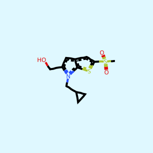 CS(=O)(=O)c1cc2cc(CO)n(CC3CC3)c2s1